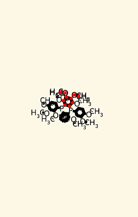 COc1ccc(P(c2ccc(OC)c(OC)c2OC)[C]23[CH]4[CH]5[CH]6[C]2(P(c2ccc(OC)c(OC)c2OC)c2ccc(OC)c(OC)c2OC)[Fe]54632789[CH]3[CH]2[CH]7[CH]8[CH]39)c(OC)c1OC